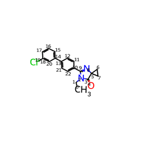 CCN1C(=O)C2(CC2)N=C1c1ccc(-c2cccc(Cl)c2)cc1